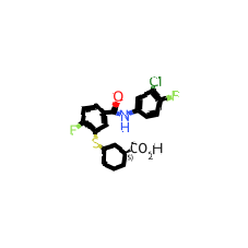 O=C(Nc1ccc(F)c(Cl)c1)c1ccc(F)c(SC2CCC[C@H](C(=O)O)C2)c1